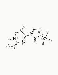 CC(Cn1ccnc1)C(=O)c1ccc(C(C)(C)C)s1